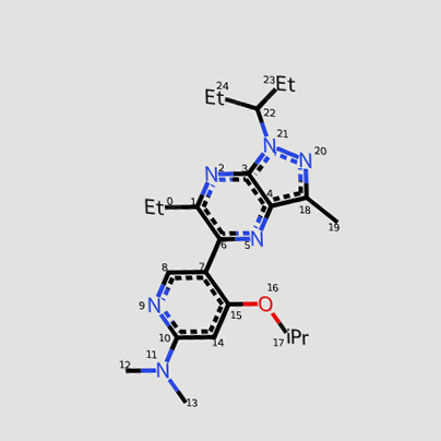 CCc1nc2c(nc1-c1cnc(N(C)C)cc1OC(C)C)c(C)nn2C(CC)CC